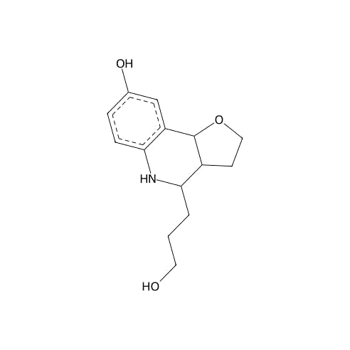 OCCCC1Nc2ccc(O)cc2C2OCCC12